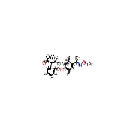 CCCO/N=C(\CC)c1cc(C)c(OCc2ccccc2/C(=C\OC)C(=O)OC)cc1C